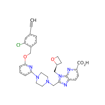 C#Cc1ccc(COc2cccc(N3CCN(Cc4nc5ccc(C(=O)O)nc5n4C[C@@H]4CCO4)CC3)n2)c(Cl)c1